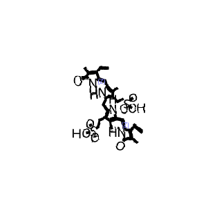 C=CC1=C(C)C(=O)N/C1=C\c1[nH]c(Cc2[nH]c(/C=C3\NC(=O)C(C)=C3C=C)c(C)c2CCS(=O)(=O)O)c(CCS(=O)(=O)O)c1C